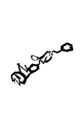 Cn1c2c(c3ccc(N4CCN(CCc5ccccc5)CC4=O)cc31)CN1CCC2C1